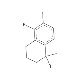 Cc1ccc2c(c1F)CCCC2(C)I